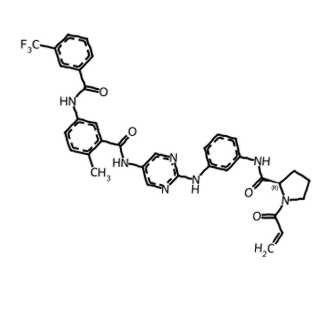 C=CC(=O)N1CCC[C@@H]1C(=O)Nc1cccc(Nc2ncc(NC(=O)c3cc(NC(=O)c4cccc(C(F)(F)F)c4)ccc3C)cn2)c1